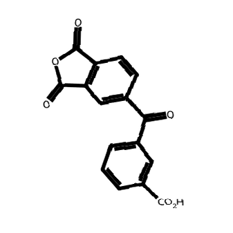 O=C(O)c1cccc(C(=O)c2ccc3c(c2)C(=O)OC3=O)c1